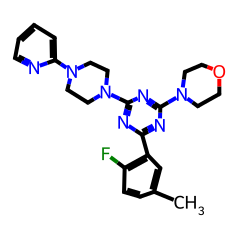 Cc1ccc(F)c(-c2nc(N3CCOCC3)nc(N3CCN(c4ccccn4)CC3)n2)c1